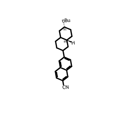 CCCC[C@@H]1CC[C@@H]2CC(c3ccc4cc(C#N)ccc4c3)CCC2C1